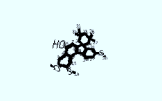 COc1cc2c(O)cc3c(c2cc1SC)-c1ccc(SC)cc1C31CC(C)(C)CC(C)(C)C1